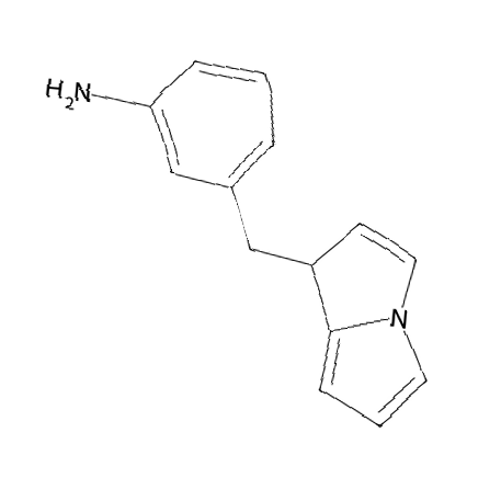 Nc1cccc(CC2C=Cn3cccc32)c1